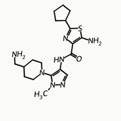 Cn1ncc(NC(=O)c2nc(C3CCCC3)sc2N)c1N1CCC(CN)CC1